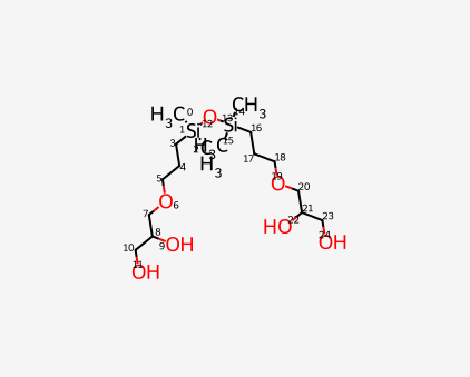 C[Si](C)(CCCOCC(O)CO)O[Si](C)(C)CCCOCC(O)CO